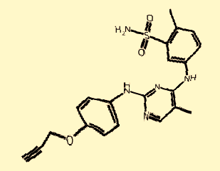 C#CCOc1ccc(Nc2ncc(C)c(Nc3ccc(C)c(S(N)(=O)=O)c3)n2)cc1